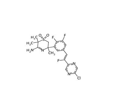 CC1(c2cc(C=C(F)c3cnc(Cl)cn3)cc(F)c2F)CS(=O)(=O)C(C)(C)C(N)=N1